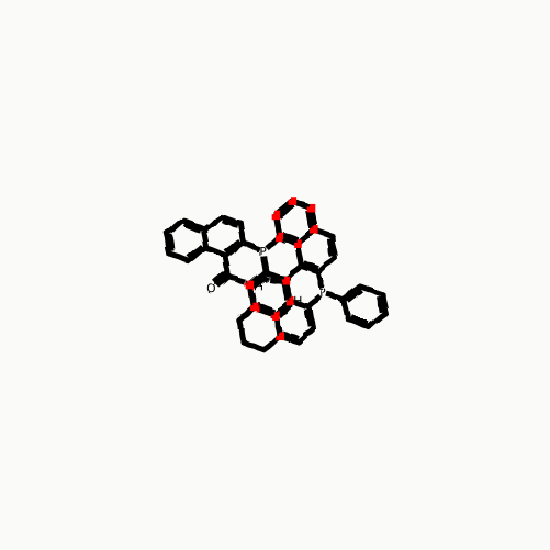 O=C(NC1CCCCC1NC(=O)c1c(P(c2ccccc2)c2ccccc2)ccc2ccccc12)c1c(P(c2ccccc2)c2ccccc2)ccc2ccccc12